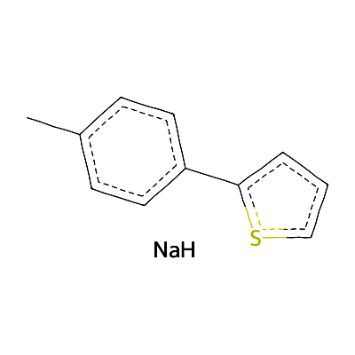 Cc1ccc(-c2cccs2)cc1.[NaH]